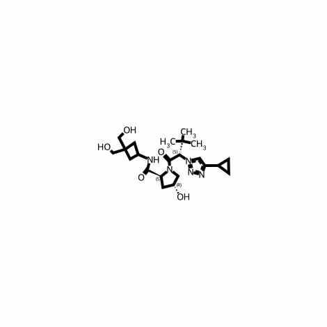 CC(C)(C)[C@@H](C(=O)N1C[C@H](O)C[C@H]1C(=O)NC1CC(CO)(CO)C1)n1cc(C2CC2)nn1